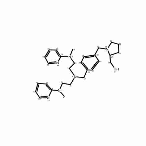 CN(CCN(CCN(C)c1ccccn1)Cc1ccc(CN2CCCC2CO)cc1)c1ccccn1